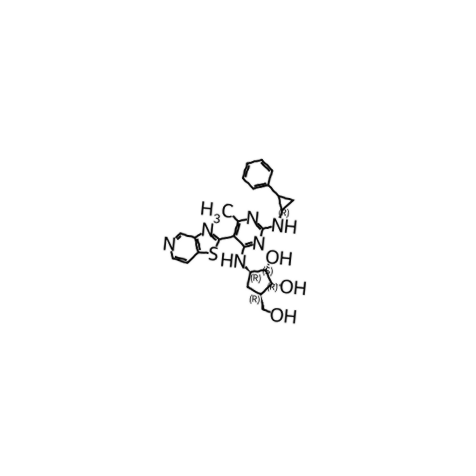 Cc1nc(N[C@@H]2CC2c2ccccc2)nc(N[C@@H]2C[C@H](CO)[C@@H](O)[C@H]2O)c1-c1nc2cnccc2s1